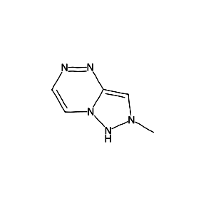 CN1C=C2N=NC=CN2N1